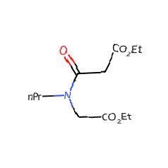 CCCN(CC(=O)OCC)C(=O)CC(=O)OCC